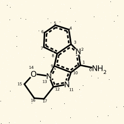 Nc1nc2ccccc2c2c1nc1n2OCCC1